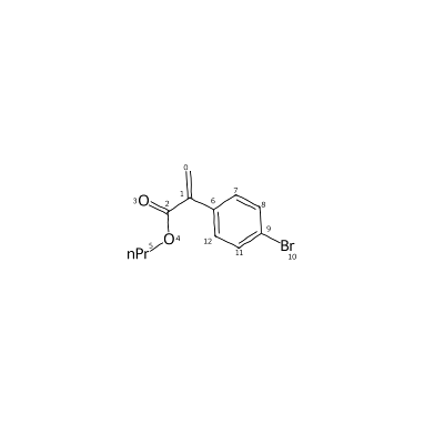 C=C(C(=O)OCCC)c1ccc(Br)cc1